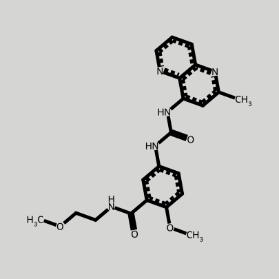 COCCNC(=O)c1cc(NC(=O)Nc2cc(C)nc3cccnc23)ccc1OC